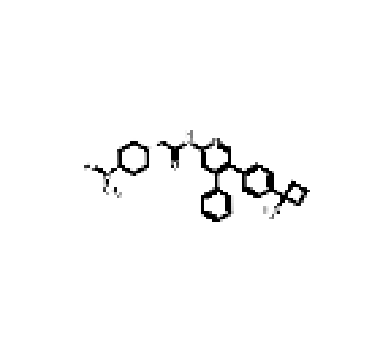 CC(=O)N(C)[C@H]1CC[C@H](CC(=O)Nc2cc(-c3ccccc3)c(-c3ccc(C4(N)CCC4)cc3)cn2)CC1